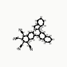 N#Cc1c(C#N)c(C#N)c2cc3c(cc2c1C#N)c1cc2ccccc2cc1c1c2ccccc2cn31